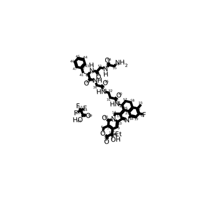 CC[C@@]1(O)C(=O)OCc2c1cc1n(c2=O)Cc2c-1nc1cc(F)c(C)c3c1c2[C@@H](NC(=O)CCNC(=O)CNC(=O)[C@H](Cc1ccccc1)NC(=O)CNC(=O)CN)CC3.O=C(O)C(F)(F)F